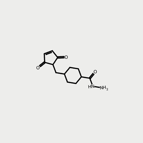 NNC(=O)C1CCC(CC2C(=O)C=CC2=O)CC1